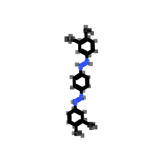 Cc1ccc(N=Nc2ccc(N=Nc3ccc(C)c(C)c3)cc2)cc1C